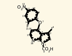 O=C(O)n1cc(I)c2c(Oc3ccc([N+](=O)[O-])cc3F)ccnc21